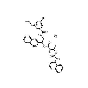 CCC[n+]1cc(Br)cc(C(=O)NCC(OC(=O)NC(C)OC(=O)Nc2cccc3ccccc23)c2ccc3ccccc3c2)c1.[Cl-]